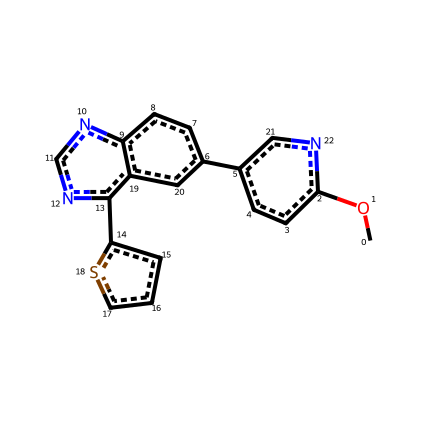 COc1ccc(-c2ccc3ncnc(-c4cccs4)c3c2)cn1